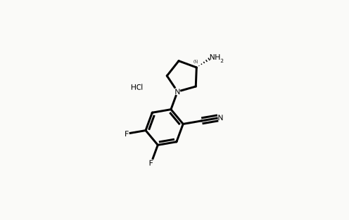 Cl.N#Cc1cc(F)c(F)cc1N1CC[C@H](N)C1